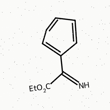 CCOC(=O)C(=N)c1ccccc1